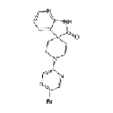 O=C1Nc2ncccc2C12CCN(c1cnc(Br)cn1)CC2